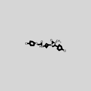 CN1C(=O)N(C23CC(NC(=O)COc4ccc(Cl)cc4)(C2)C3)CC1c1ccc(Cl)cc1